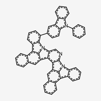 c1ccc(-n2c3ccccc3c3cc(-c4cccc5c6c7ccccc7cc7c8c9c%10cc%11ccccc%11c%11c%12ccccc%12n(c9ncc8n(c45)c76)c%10%11)ccc32)cc1